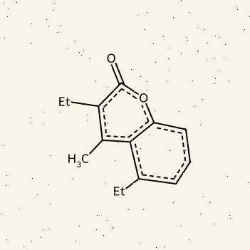 CCc1c(C)c2c(CC)cccc2oc1=O